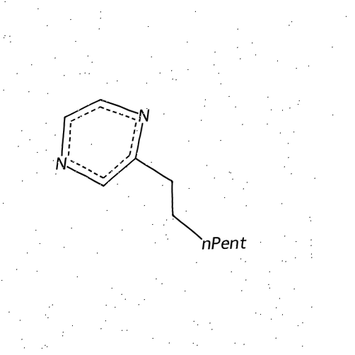 CCCCCCCc1cnccn1